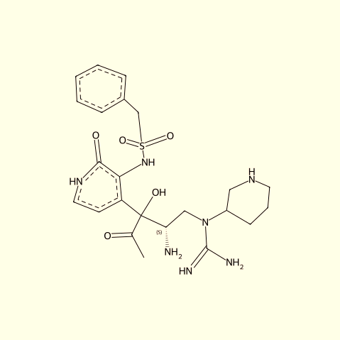 CC(=O)C(O)(c1cc[nH]c(=O)c1NS(=O)(=O)Cc1ccccc1)[C@@H](N)CN(C(=N)N)C1CCCNC1